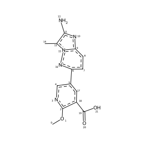 COc1ncc(-c2ccc3nc(N)c(C)n3n2)cc1C(=O)O